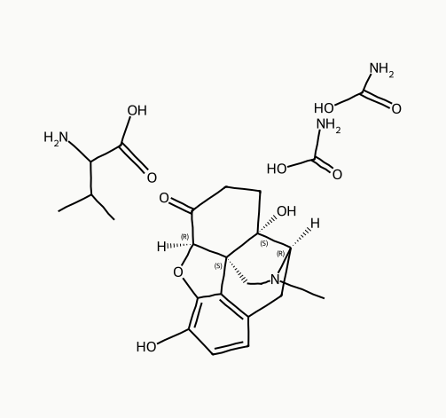 CC(C)C(N)C(=O)O.CN1CC[C@]23c4c5ccc(O)c4O[C@H]2C(=O)CC[C@@]3(O)[C@H]1C5.NC(=O)O.NC(=O)O